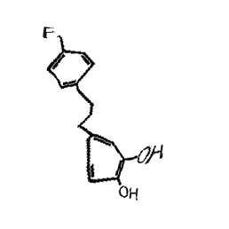 Oc1ccc(CCc2ccc(F)cc2)cc1O